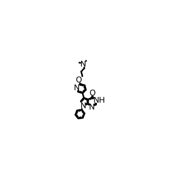 CN(C)CCCOc1ccc(-c2cn(-c3ccccc3)c3nc[nH]c(=O)c23)cn1